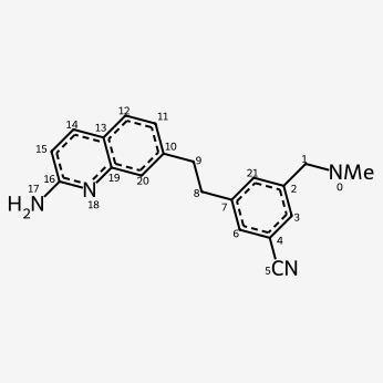 CNCc1cc(C#N)cc(CCc2ccc3ccc(N)nc3c2)c1